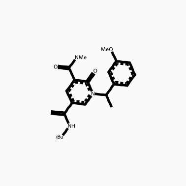 C=C(NC(C)CC)c1cc(C(=O)NC)c(=O)n(C(C)c2cccc(OC)c2)c1